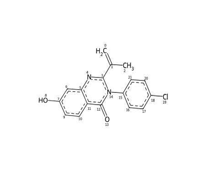 C=C(C)c1nc2cc(O)ccc2c(=O)n1-c1ccc(Cl)cc1